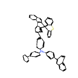 c1ccc(-c2ccc(N(c3ccc(-c4ccc5c(c4)C4(c6ccccc6Sc6ccccc64)c4ccc6ccccc6c4-5)cc3)c3ccc(-c4ccc5ccccc5c4)cc3)cc2)cc1